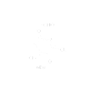 CCCCOc1c(Cl)cc(OC=O)cc1Cl